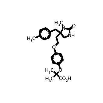 Cc1ccc(CC2(CCOc3ccc(OC(C)(C)C(=O)O)cc3)CNC(=O)N2C)cc1